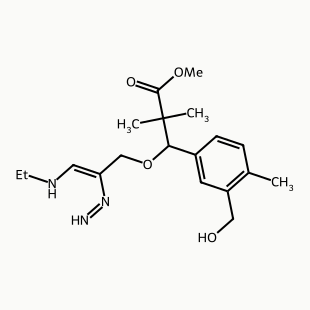 CCN/C=C(/COC(c1ccc(C)c(CO)c1)C(C)(C)C(=O)OC)N=N